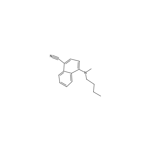 CCCCN(C)c1ccc(C#N)c2ccccc12